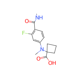 CNC(=O)c1ccc(N(C)C2(C(=O)O)CCC2)cc1F